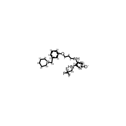 [O-][s+]1nc(NCCCOc2cccc(CN3CCCCC3)c2)c(NCC(F)(F)F)n1